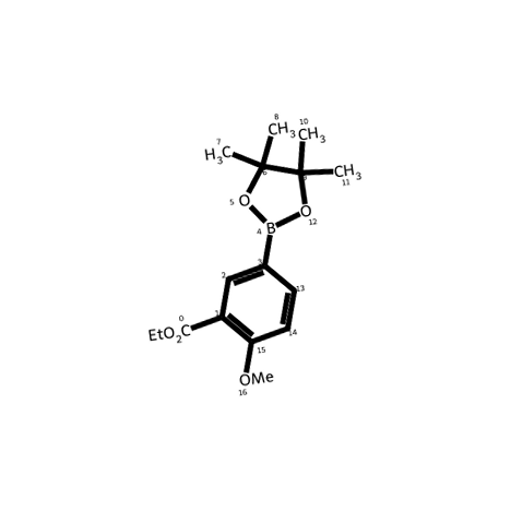 CCOC(=O)c1cc(B2OC(C)(C)C(C)(C)O2)ccc1OC